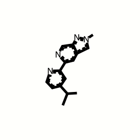 CC(C)c1ccnc(-c2cc3cn(C)nc3cn2)c1